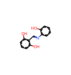 Oc1ccccc1N=Cc1c(O)cccc1O